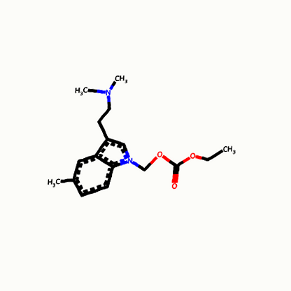 CCOC(=O)OCn1cc(CCN(C)C)c2cc(C)ccc21